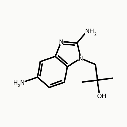 CC(C)(O)Cn1c(N)nc2cc(N)ccc21